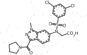 Cn1nc(C(=O)N2CCCC2)c2ccc(N(CC(=O)O)S(=O)(=O)c3cc(Cl)cc(Cl)c3)cc21